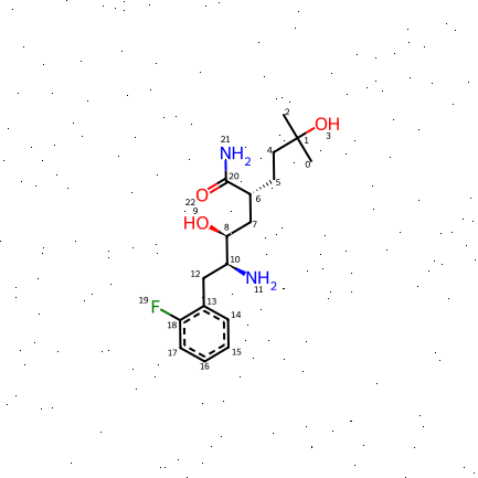 CC(C)(O)CC[C@H](C[C@H](O)[C@@H](N)Cc1ccccc1F)C(N)=O